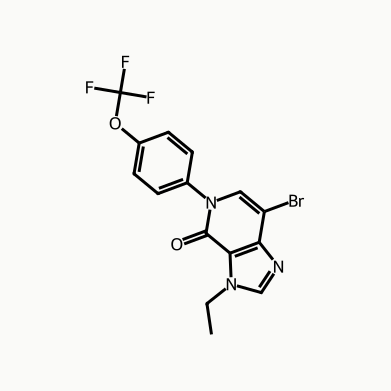 CCn1cnc2c(Br)cn(-c3ccc(OC(F)(F)F)cc3)c(=O)c21